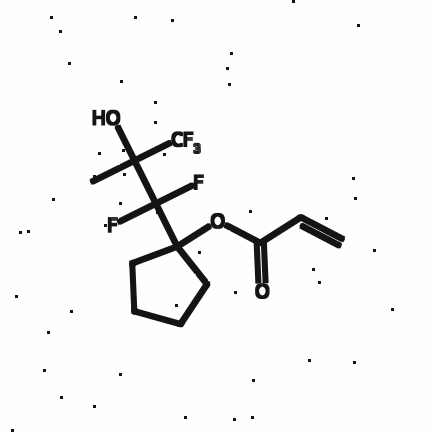 C=CC(=O)OC1(C(F)(F)C(C)(O)C(F)(F)F)CCCC1